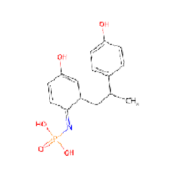 CC(CC1C=C(O)C=C/C1=N\P(=O)(O)O)c1ccc(O)cc1